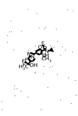 COc1cc(-c2cnc3cc(C(C)(O)C(F)(F)F)ccn23)cc(OC(F)F)c1C(=O)NC1CC1